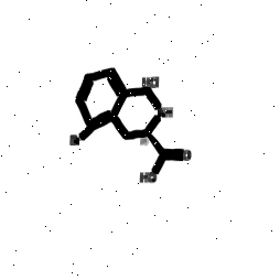 Cl.O=C(O)[C@H]1Cc2c(Br)cccc2CN1